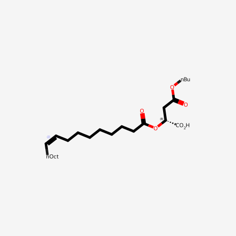 CCCCCCCC/C=C\CCCCCCCC(=O)O[C@H](CC(=O)OCCCC)C(=O)O